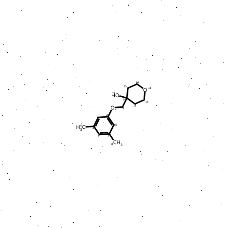 Cc1cc(C)cc(OCC2(O)CCOCC2)c1